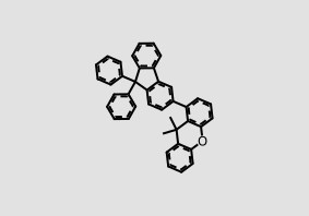 CC1(C)c2ccccc2Oc2cccc(-c3ccc4c(c3)-c3ccccc3C4(c3ccccc3)c3ccccc3)c21